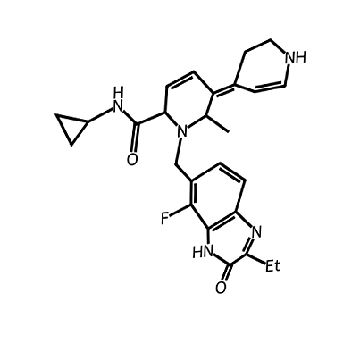 CCc1nc2ccc(CN3C(C)C(=C4C=CNCC4)C=CC3C(=O)NC3CC3)c(F)c2[nH]c1=O